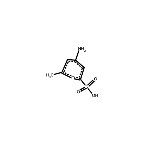 Cc1cc(N)cc(S(=O)(=O)O)c1